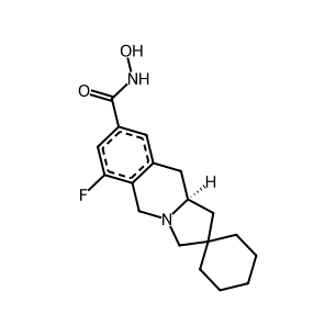 O=C(NO)c1cc(F)c2c(c1)C[C@H]1CC3(CCCCC3)CN1C2